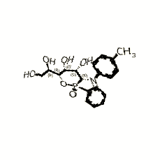 Cc1ccc(N[C@H]2[C@@H](O)[C@@H](O)[C@@H]([C@H](O)CO)OP2(=O)c2ccccc2)cc1